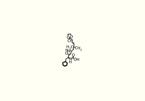 CC(C)(CCCC1(C)OCCO1)CNC[C@@H](O)[C@H](Cc1ccccc1)NC(=O)O